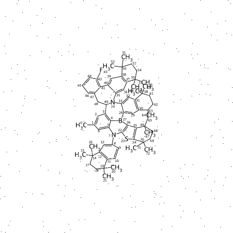 Cc1cc2c3c(c1)N(c1ccc4c(c1)C(C)(C)CCC4(C)C)c1sc4c5c1B3c1cc3c(cc1N1c6cc7c(cc6-c6c(F)cccc6CC21)C(C)(C)CCC7(C)C)C(C)(C)CCC3(C)CC5(C)CCC4(C)C